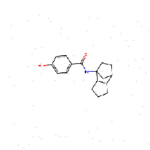 O=C(NC12CCC(C1)C1CCCC12)c1ccc(O)cc1